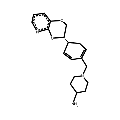 NC1CCN(CC2=CCC([C@H]3COc4cccnc4O3)C=C2)CC1